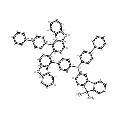 CC1(C)c2ccccc2-c2cc(N(c3ccc(-c4ccccc4)cc3)c3ccc(-c4c(-c5ccc6oc7ccccc7c6c5-c5ccc(-c6ccccc6)cc5)ccc5oc6ccccc6c45)cc3)ccc21